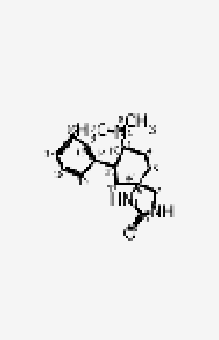 CN(C)[C@H]1CC[C@]2(CNC(=O)N2)CC1c1ccccc1